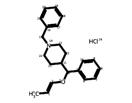 CC=COC(c1ccccc1)C1CCN(Cc2ccccc2)CC1.Cl